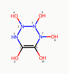 Oc1[nH]n(O)n(O)n(O)c1O